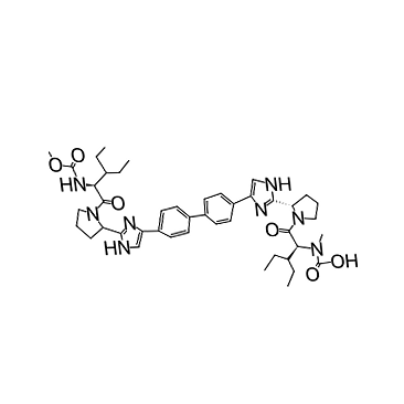 CCC(CC)[C@H](NC(=O)OC)C(=O)N1CCCC1c1nc(-c2ccc(-c3ccc(-c4c[nH]c([C@@H]5CCCN5C(=O)[C@H](C(CC)CC)N(C)C(=O)O)n4)cc3)cc2)c[nH]1